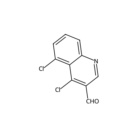 O=Cc1cnc2cccc(Cl)c2c1Cl